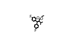 CCOC(=O)C(=C(c1ccc(F)cc1)c1ccc(F)cc1)C(C)C